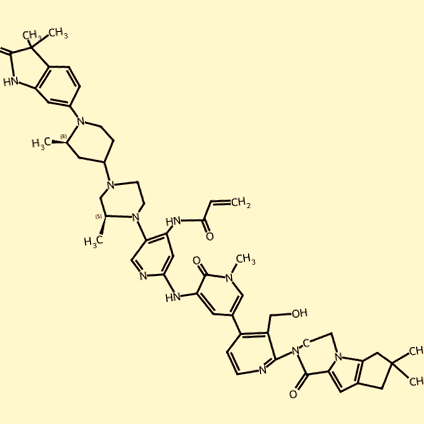 C=CC(=O)Nc1cc(Nc2cc(-c3ccnc(N4CCn5c(cc6c5CC(C)(C)C6)C4=O)c3CO)cn(C)c2=O)ncc1N1CCN(C2CCN(c3ccc4c(c3)NC(=O)C4(C)C)[C@H](C)C2)C[C@@H]1C